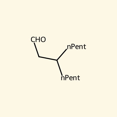 CCCCCC(CC=O)CCCCC